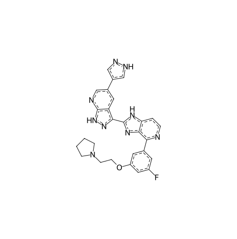 Fc1cc(OCCN2CCCC2)cc(-c2nccc3[nH]c(-c4n[nH]c5ncc(-c6cn[nH]c6)cc45)nc23)c1